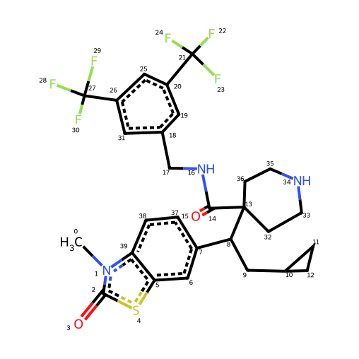 Cn1c(=O)sc2cc(C(CC3CC3)C3(C(=O)NCc4cc(C(F)(F)F)cc(C(F)(F)F)c4)CCNCC3)ccc21